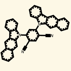 N#Cc1cc(C#N)c(-n2c3ccccc3c3cc4ccccc4cc32)cc1-n1c2ccccc2c2cc3ccccc3cc21